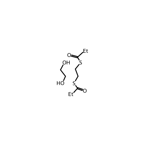 CCC(=O)SCCSC(=O)CC.OCCO